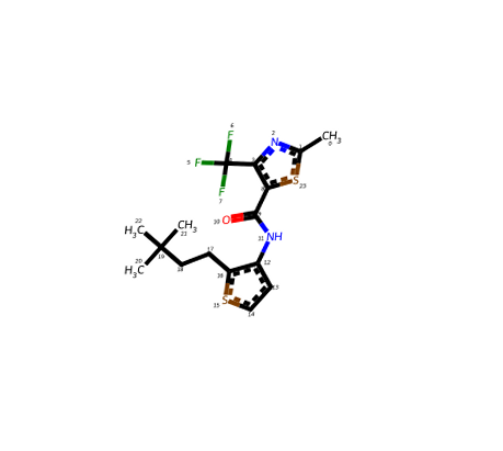 Cc1nc(C(F)(F)F)c(C(=O)Nc2ccsc2CCC(C)(C)C)s1